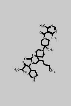 CCCCC1CN(C(C(=O)C(C)C)C2CCNCC2)C(=O)OC12CCN(C1(C)CCN(C(=O)c3c(C)ncnc3C)CC1)CC2